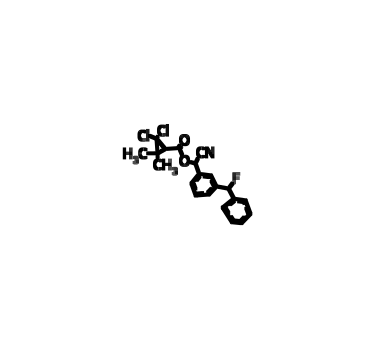 CC1(C)C(C(=O)OC(C#N)c2cccc(C(F)c3ccccc3)c2)C1(Cl)Cl